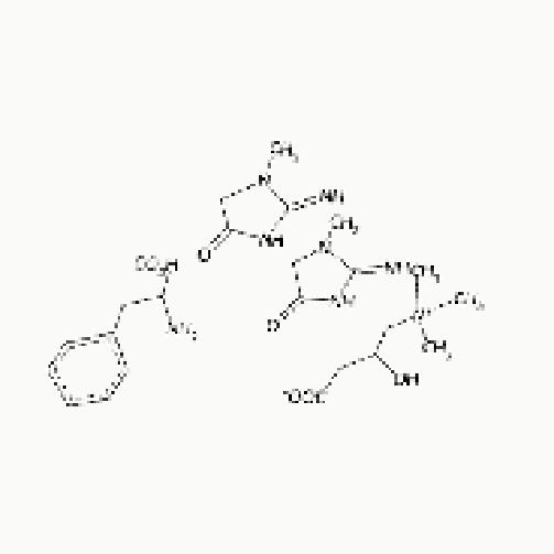 CN1CC(=O)NC1=N.CN1CC(=O)NC1=N.C[N+](C)(C)CC(O)CC(=O)[O-].NC(Cc1ccccc1)C(=O)O